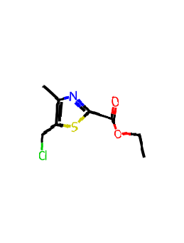 CCOC(=O)c1nc(C)c(CCl)s1